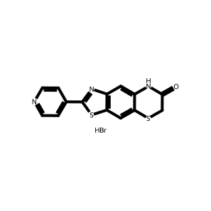 Br.O=C1CSc2cc3sc(-c4ccncc4)nc3cc2N1